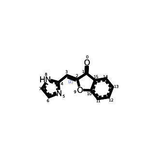 O=C1/C(=C/c2ncc[nH]2)Oc2ccccc21